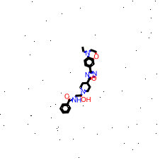 CCN1CCOc2cc(-c3noc(C4CCN(C(O)CNC(=O)c5ccccc5)CC4)n3)ccc21